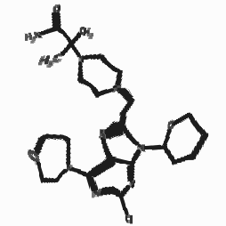 CC(C)(C(N)=O)N1CCN(Cc2nc3c(N4CCOCC4)nc(Cl)nc3n2C2CCCCO2)CC1